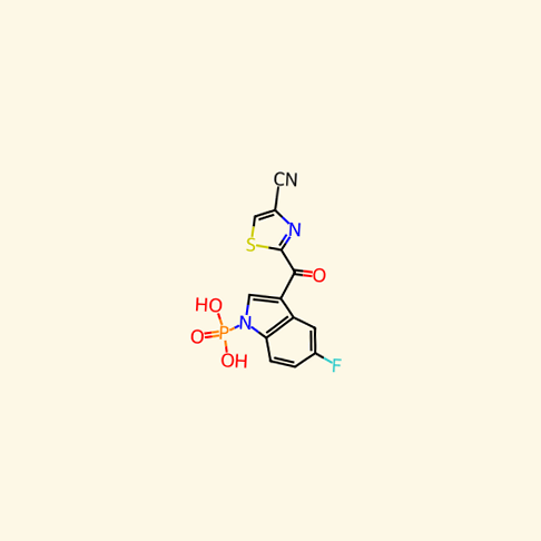 N#Cc1csc(C(=O)c2cn(P(=O)(O)O)c3ccc(F)cc23)n1